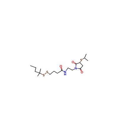 CCCC(C)(C)SSCCCC(=O)NCCN1C(=O)CC(SC(C)C)C1=O